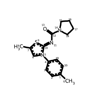 Cc1ccc(-n2cc(C)s/c2=N\C(=O)N2CCCC2)cc1